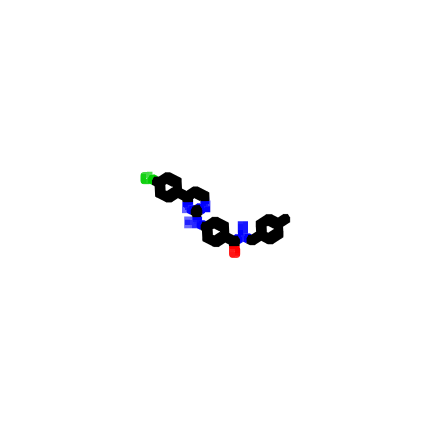 Cc1ccc(CNC(=O)c2ccc(Nc3nccc(-c4ccc(Cl)cc4)n3)cc2)cc1